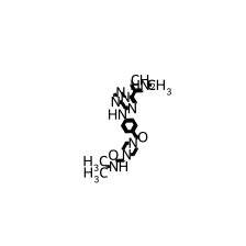 C=C/C(=C\NC)c1cnc(Nc2ccc(C(=O)N3CCN(CC(=O)NC(C)C)CC3)cc2)c2ncnn12